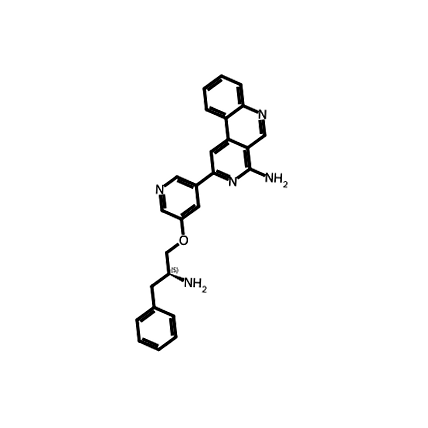 Nc1nc(-c2cncc(OC[C@@H](N)Cc3ccccc3)c2)cc2c1cnc1ccccc12